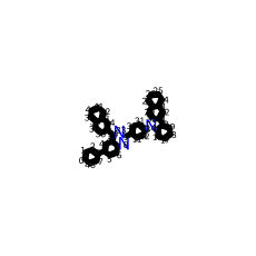 c1ccc(-c2ccc3nc(-c4ccc(-n5c6ccccc6c6cc7ccccc7cc65)cc4)nc(-c4ccc5ccccc5c4)c3c2)cc1